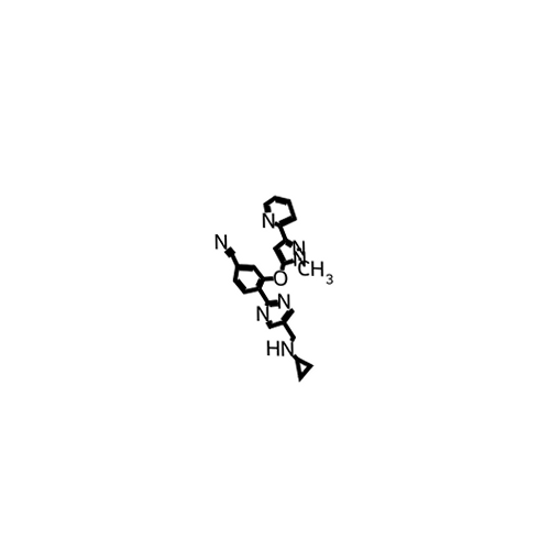 Cn1nc(-c2ccccn2)cc1Oc1cc(C#N)ccc1-c1ncc(CNC2CC2)cn1